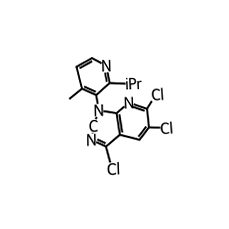 Cc1ccnc(C(C)C)c1N1CN=C(Cl)c2cc(Cl)c(Cl)nc21